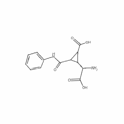 NC(C(=O)O)C1C(C(=O)O)C1C(=O)Nc1ccccc1